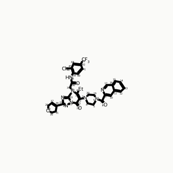 CCc1c(N2CCN(C(=O)c3cc4ccccc4cn3)CC2)c(=O)n2nc(C3=CCOCC3)nc2n1CC(=O)Nc1ccc(C(F)(F)F)cc1Cl